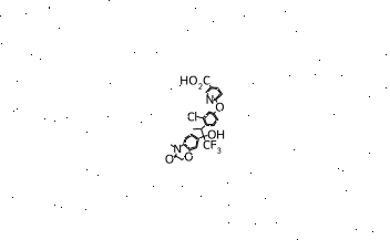 CC(c1ccc(Oc2ccc(C(=O)O)cn2)cc1Cl)C(O)(c1ccc2c(c1)OCC(=O)N2C)C(F)(F)F